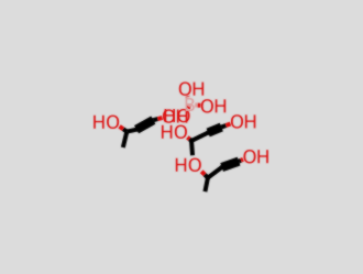 CC(O)C#CO.CC(O)C#CO.CC(O)C#CO.OB(O)O